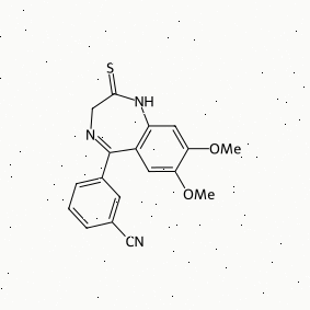 COc1cc2c(cc1OC)C(c1cccc(C#N)c1)=NCC(=S)N2